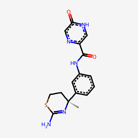 C[C@@]1(c2cccc(NC(=O)c3c[nH]c(=O)cn3)c2)CCSC(N)=N1